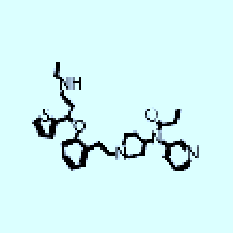 CCNCC[C@@H](Oc1ccccc1CCN1CCC(N(C(=O)CC)c2cccnc2)CC1)c1cccs1